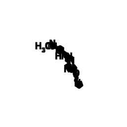 Cn1cc(-c2ccc(CNc3cc(-c4cnc5cc(OCCCN6CCCC6)ccn45)ncn3)cc2)cn1